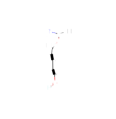 CB(N)OBC#CC#COF